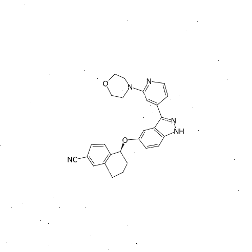 N#Cc1ccc2c(c1)CCC[C@@H]2Oc1ccc2[nH]nc(-c3ccnc(N4CCOCC4)c3)c2c1